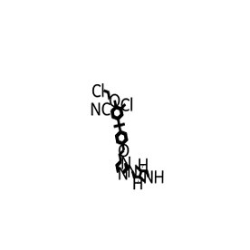 CC(C)(c1ccc(OCc2ccnc(N3C[C@H]4CNC[C@H]4C3)n2)cc1)c1cc(Cl)c(OCCCl)c(C#N)c1